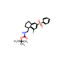 CC(C)(C)OC(=O)NCC1CCCc2cc(S(=O)(=O)c3ccccc3)cc(F)c21